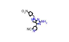 N#Cc1cc(-c2nc(N)nc3c2cnn3Cc2ccc([N+](=O)[O-])cc2)ccn1